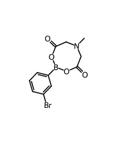 CN1CC(=O)OB(c2cccc(Br)c2)OC(=O)C1